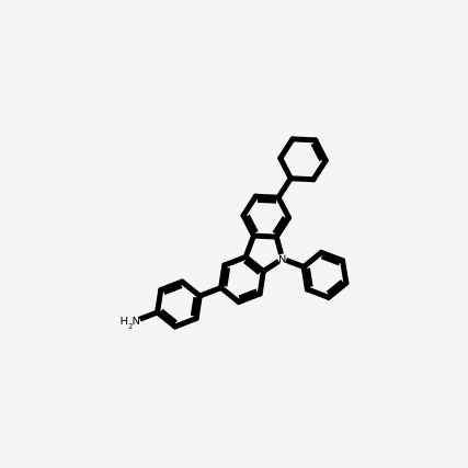 Nc1ccc(-c2ccc3c(c2)c2ccc(C4CC=CCC4)cc2n3-c2ccccc2)cc1